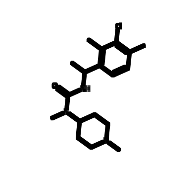 Cc1ccc(C(C)NC(=O)N(C)C2CCN(C)CC2)c(C)c1Cl